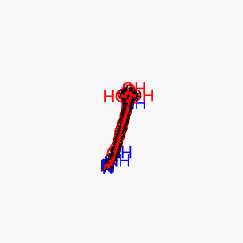 Cc1nnc(-c2ccc(NC(=O)CCCC(=O)NCCOCCOCCOCCOCCOCCOCCOCCOCCOCCOCCOCCNC(=O)CN3CCN(CC(=O)O)CCN(CC(=O)O)CCN(CC(=O)O)CC3)cn2)nn1